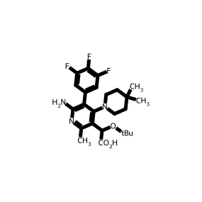 Cc1nc(N)c(-c2cc(F)c(F)c(F)c2)c(N2CCC(C)(C)CC2)c1C(OC(C)(C)C)C(=O)O